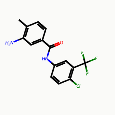 Cc1ccc(C(=O)Nc2ccc(Cl)c(C(F)(F)F)c2)cc1N